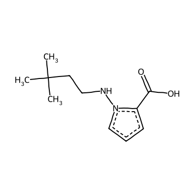 CC(C)(C)CCNn1cccc1C(=O)O